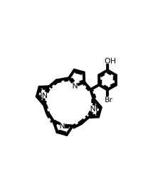 Oc1ccc(Br)c(-c2c3nc(cc4ccc(cc5nc(cc6ccc2[nH]6)C=C5)[nH]4)C=C3)c1